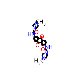 CN1CCN(CC(=O)Nc2ccc3c(c2)C(=O)c2ccc(NC(=O)CN4CCN(C)CC4)cc2C3=O)CC1